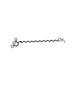 CCCCCCCCCCCCCCCCCCCC=CC1CCC(=O)OC1=O